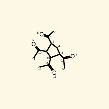 CC(=O)C1CC(C(C)=O)C(C(C)=O)C1C(C)=O